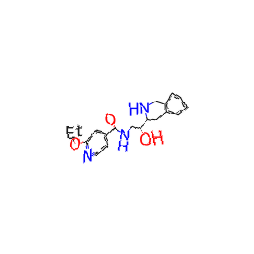 CCOc1cc(C(=O)NCC(O)C2Cc3ccccc3CN2)ccn1